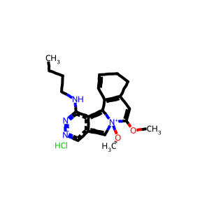 CCCCNc1nncc2c1=C1C3=C(C=C(OC)[N+]1(OC)C=2)CCC=C3.Cl